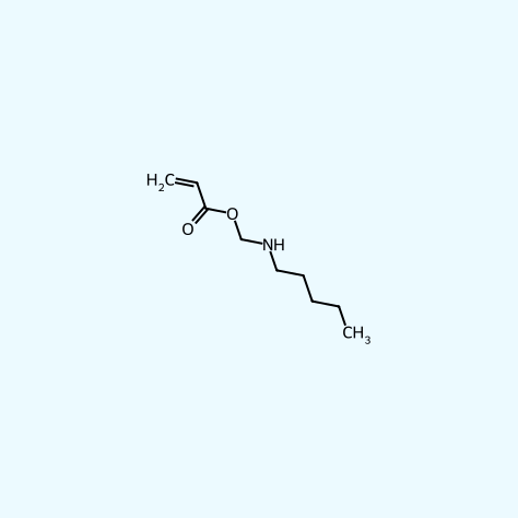 C=CC(=O)OCNCCCCC